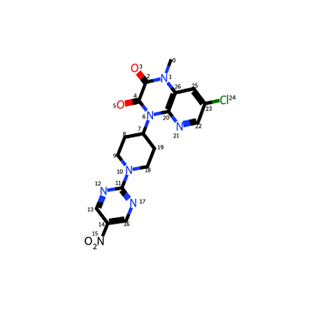 Cn1c(=O)c(=O)n(C2CCN(c3ncc([N+](=O)[O-])cn3)CC2)c2ncc(Cl)cc21